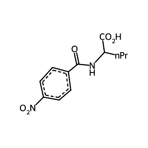 CCCC(NC(=O)c1ccc([N+](=O)[O-])cc1)C(=O)O